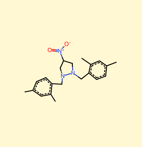 Cc1ccc(CN2CC([N+](=O)[O-])CN2Cc2ccc(C)cc2C)c(C)c1